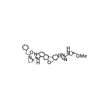 COC[C@@H]1CN[C@H](c2ncc(-c3ccc4c(c3)COc3cc5c(ccc6nc([C@@H]7CCCN7C(=O)[CH]c7ccccc7)[nH]c65)cc3-4)[nH]2)C1